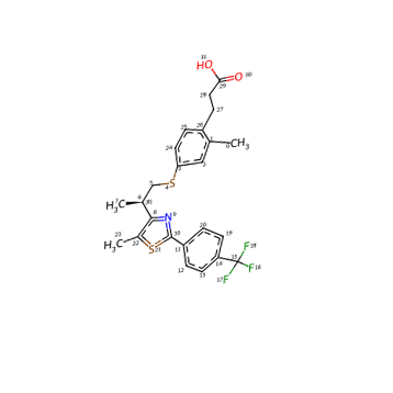 Cc1cc(SC[C@H](C)c2nc(-c3ccc(C(F)(F)F)cc3)sc2C)ccc1CCC(=O)O